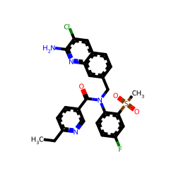 CCc1ccc(C(=O)N(Cc2ccc3cc(Cl)c(N)nc3c2)c2ccc(F)cc2S(C)(=O)=O)cn1